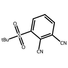 CC(C)(C)S(=O)(=O)c1cccc(C#N)c1C#N